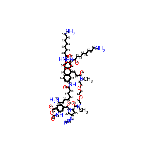 CN(CCOCCOCCN(C)C(=O)[C@@H]1C[C@H](N=[N+]=[N-])CN1C(=O)c1ccc2c(=O)oc(=O)[nH]c2c1)C(=O)CCC12c3ccc(NC(=O)CCCCCCCN)cc3C(c3ccc(NC(=O)CCCCCCCN)cc31)c1ccc(NC(=O)CCCCCCCN)cc12